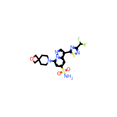 NS(=O)(=O)c1cc(N2CCC3(CC2)COC3)n2ncc(-c3nc(C(F)F)ns3)c2c1